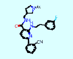 CC(=O)N1CCC(CNC(=O)c2ccc(-c3ccccc3C#N)nc2NCCc2cccc(F)c2)C1